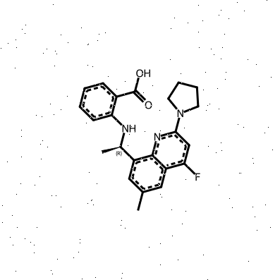 Cc1cc([C@@H](C)Nc2ccccc2C(=O)O)c2nc(N3CCCC3)cc(F)c2c1